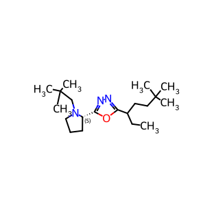 CCC(CCC(C)(C)C)c1nnc([C@@H]2CCCN2CC(C)(C)C)o1